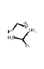 CC(C)CN.CCC(C)N